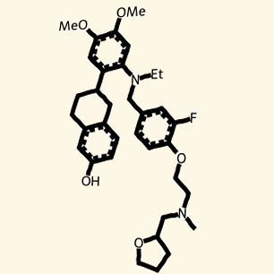 CCN(Cc1ccc(OCCN(C)CC2CCCO2)c(F)c1)c1cc(OC)c(OC)cc1C1CCc2cc(O)ccc2C1